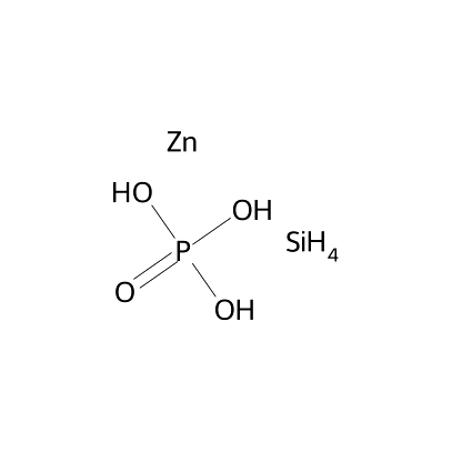 O=P(O)(O)O.[SiH4].[Zn]